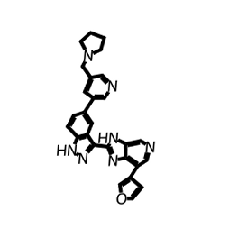 c1cc(-c2cncc3[nH]c(-c4n[nH]c5ccc(-c6cncc(CN7CCCC7)c6)cc45)nc23)co1